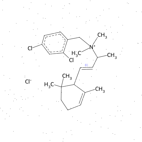 CC1=CCCC(C)(C)C1/C=C/C(C)[N+](C)(C)Cc1ccc(Cl)cc1Cl.[Cl-]